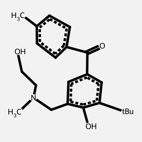 Cc1ccc(C(=O)c2cc(CN(C)CCO)c(O)c(C(C)(C)C)c2)cc1